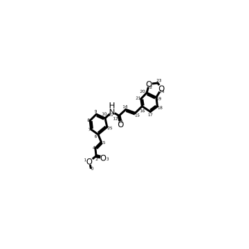 COC(=O)C=Cc1cccc(NC(=O)C=Cc2ccc3c(c2)OCO3)c1